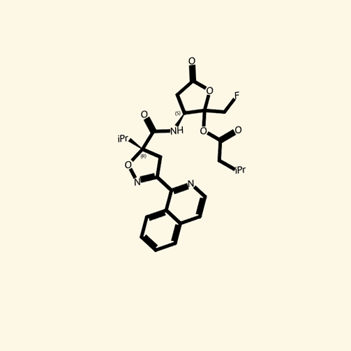 CC(C)CC(=O)OC1(CF)OC(=O)C[C@@H]1NC(=O)[C@]1(C(C)C)CC(c2nccc3ccccc23)=NO1